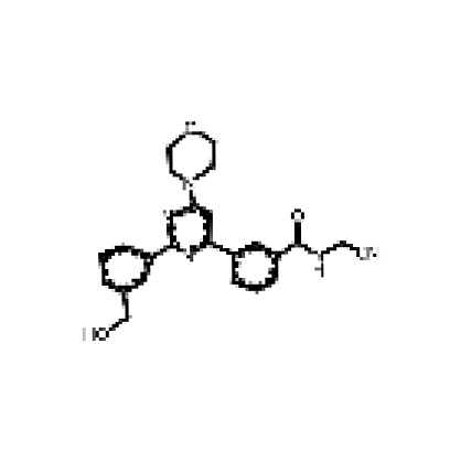 N#CCNC(=O)c1cccc(-c2cc(N3CCOCC3)nc(-c3cccc(CO)c3)n2)c1